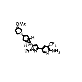 CO[C@@H]1CCN(C2C[C@@H]3[C@H](C2)[C@@H]3c2cc(-c3cnc(N)c(C(F)(F)F)c3)nn2C(C)C)C1